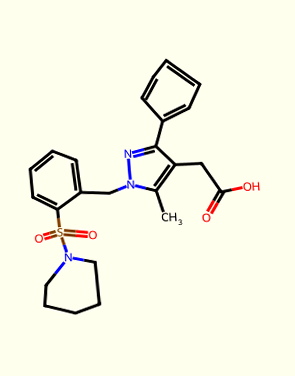 Cc1c(CC(=O)O)c(-c2ccccc2)nn1Cc1ccccc1S(=O)(=O)N1CCCCC1